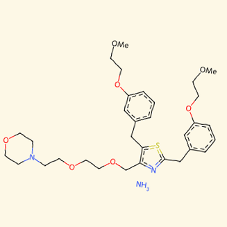 COCCOc1cccc(Cc2nc(COCCOCCN3CCOCC3)c(Cc3cccc(OCCOC)c3)s2)c1.N